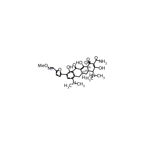 CO/N=C/c1ccc(-c2cc(N(C)C)c3c(c2O)C(=O)C2=C(O)[C@@]4(O)C(=O)C(C(N)=O)=C(O)C(N(C)C)[C@H]4C[C@H]2C3)o1